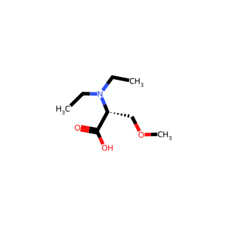 CCN(CC)[C@H](COC)C(=O)O